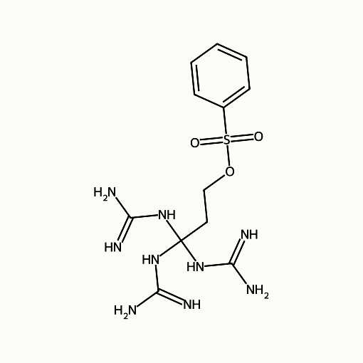 N=C(N)NC(CCOS(=O)(=O)c1ccccc1)(NC(=N)N)NC(=N)N